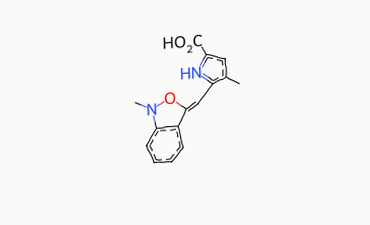 Cc1cc(C(=O)O)[nH]c1C=C1ON(C)c2ccccc21